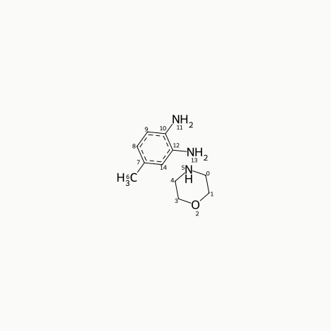 C1COCCN1.Cc1ccc(N)c(N)c1